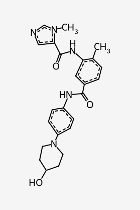 Cc1ccc(C(=O)Nc2ccc(N3CCC(O)CC3)cc2)cc1NC(=O)c1cncn1C